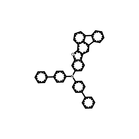 c1ccc(-c2ccc(N(c3ccc(-c4ccccc4)cc3)c3ccc4c(c3)oc3c5cccc6c5c(cc43)-c3ccccc3-6)cc2)cc1